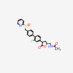 CC(=O)NC[C@@H]1CC(c2ccc(-c3ccc(C[S+]([O-])c4ccccn4)cc3)c(F)c2)C(=O)O1